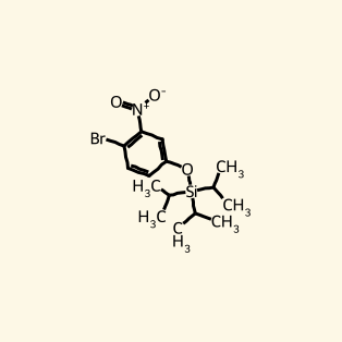 CC(C)[Si](Oc1ccc(Br)c([N+](=O)[O-])c1)(C(C)C)C(C)C